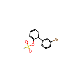 CS(=O)(=O)OC1=CC=CCC1c1cccc(Br)c1